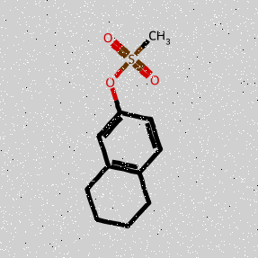 CS(=O)(=O)Oc1ccc2c(c1)CCCC2